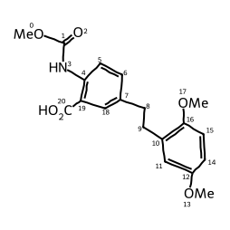 COC(=O)Nc1ccc(CCc2cc(OC)ccc2OC)cc1C(=O)O